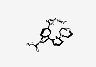 CC(C)(C)OC(=O)n1cc(-c2cccc(N3CCOCC3)n2)c2cc(-c3nnc(N=[N+]=[N-])s3)ccc21